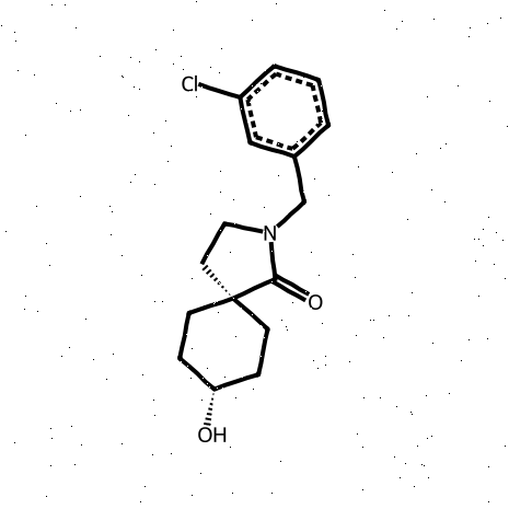 O=C1N(Cc2cccc(Cl)c2)CC[C@]12CC[C@@H](O)CC2